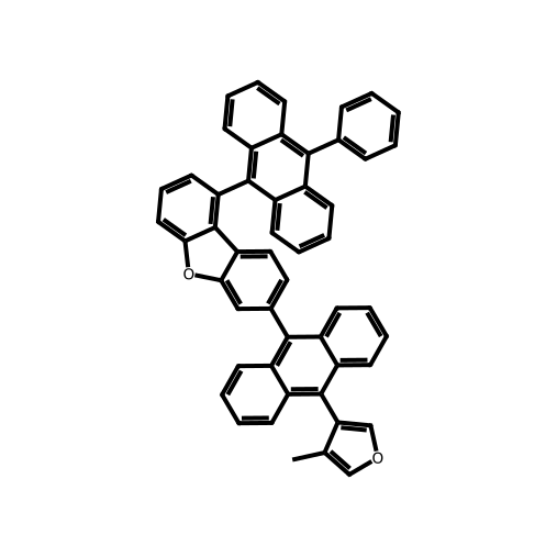 Cc1cocc1-c1c2ccccc2c(-c2ccc3c(c2)oc2cccc(-c4c5ccccc5c(-c5ccccc5)c5ccccc45)c23)c2ccccc12